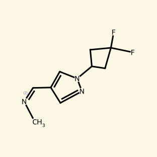 C/N=C\c1cnn(C2CC(F)(F)C2)c1